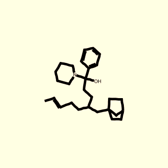 CC=CCCC(CCC(O)(c1ccccc1)N1CCCCC1)CC12CCC(CC1)C2